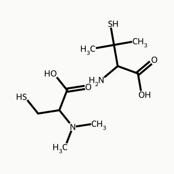 CC(C)(S)C(N)C(=O)O.CN(C)C(CS)C(=O)O